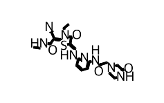 CCNC(=O)C(C#N)=c1sc(=CNc2cccc(NC(=O)CN3CCNC(=O)C3)n2)c(=O)n1CC